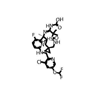 CC1(C)C(NC(=O)O)=N[C@](C)(c2nc(NCc3ncc(OC(F)F)cc3Cl)ccc2F)[C@H]2CC3(CC3)CN[SH]21=O